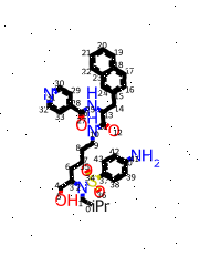 CC(C)CN(C(CO)CCCCNC(=O)C(Cc1ccc2ccccc2c1)NC(=O)c1ccncc1)S(=O)(=O)c1ccc(N)cc1